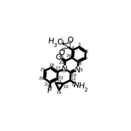 CS(=O)(=O)c1cccc2nc(C(N)C3CC3)n(-c3cccc(F)c3)c(=O)c12